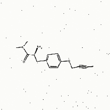 CC#CCOc1ccc(C[C@H](N)C(=O)N(C)C)cc1